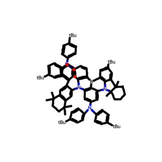 CC(C)(C)c1ccc(N(c2ccc(C(C)(C)C)cc2)c2ccc3c(c2)N(c2cc4c(cc2-c2ccccc2)C(C)(C)CCC4(C)C)c2cc(N(c4ccc(C(C)(C)C)cc4)c4ccc(C(C)(C)C)cc4)cc4c2B3c2cc(C(C)(C)C)cc3c2N4C2(C)CCCCC32C)cc1